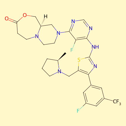 C[C@@H]1CCCN1Cc1sc(Nc2ncnc(N3CCN4CCC(=O)OC[C@H]4C3)c2F)nc1-c1cc(F)cc(C(F)(F)F)c1